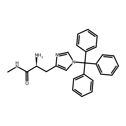 CNC(=O)[C@@H](N)Cc1cn(C(c2ccccc2)(c2ccccc2)c2ccccc2)cn1